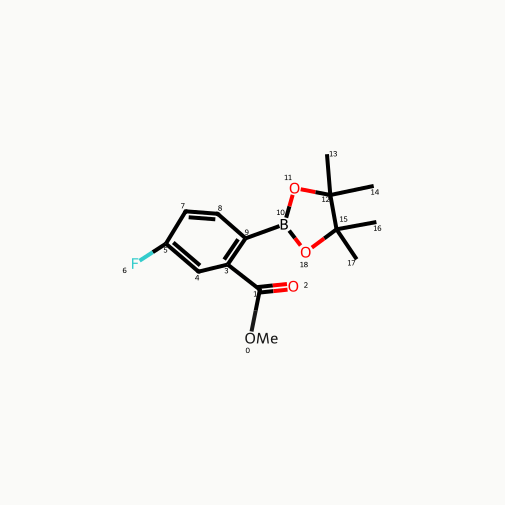 COC(=O)c1cc(F)ccc1B1OC(C)(C)C(C)(C)O1